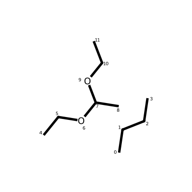 CCCC.CCOC(C)OCC